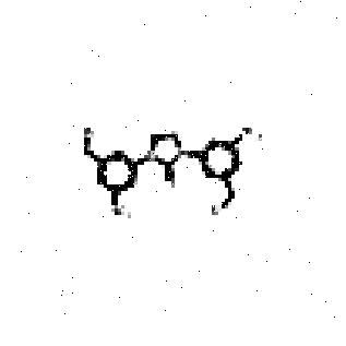 O=C1N(c2cc(CBr)cc([N+](=O)[O-])c2)CCN1c1cc(CBr)cc([N+](=O)[O-])c1